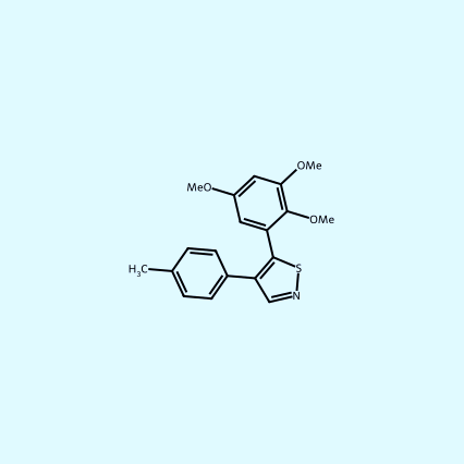 COc1cc(OC)c(OC)c(-c2sncc2-c2ccc(C)cc2)c1